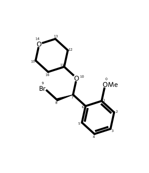 COc1ccccc1[C@@H](CBr)OC1CCOCC1